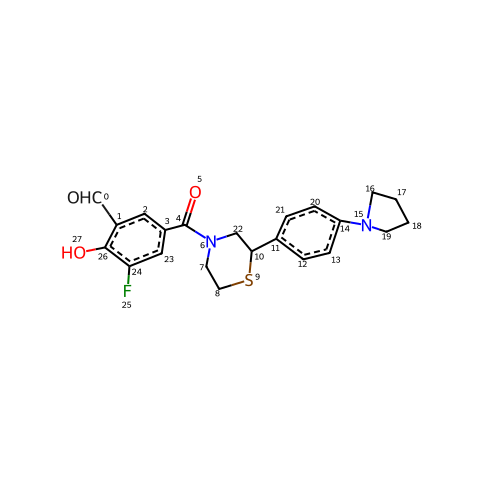 O=Cc1cc(C(=O)N2CCSC(c3ccc(N4CCCC4)cc3)C2)cc(F)c1O